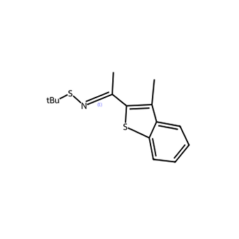 C/C(=N\SC(C)(C)C)c1sc2ccccc2c1C